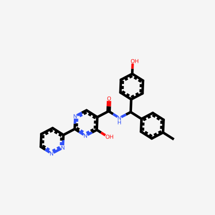 Cc1ccc(C(NC(=O)c2cnc(-c3cccnn3)nc2O)c2ccc(O)cc2)cc1